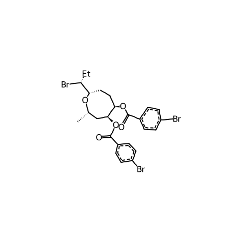 CC[C@@H](Br)[C@@H]1CC[C@@H](OC(=O)c2ccc(Br)cc2)[C@@H](OC(=O)c2ccc(Br)cc2)C[C@H](C)O1